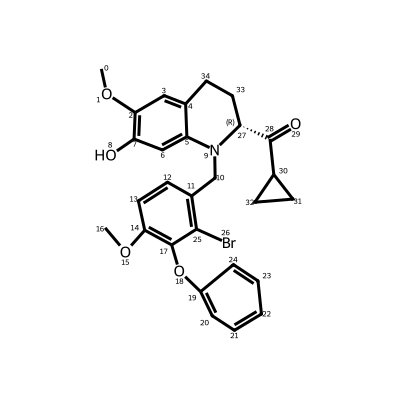 COc1cc2c(cc1O)N(Cc1ccc(OC)c(Oc3ccccc3)c1Br)[C@@H](C(=O)C1CC1)CC2